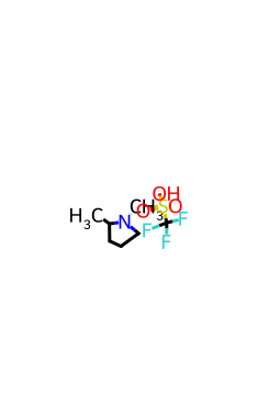 CC1CCCN1C.O=S(=O)(O)C(F)(F)F